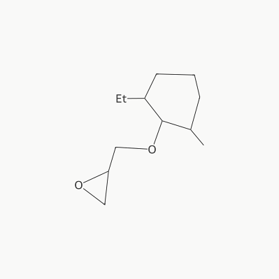 CCC1CCCC(C)C1OCC1CO1